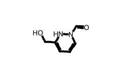 O=CN1C=CC=C(CO)N1